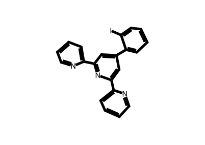 Ic1ccccc1-c1cc(-c2ccccn2)nc(-c2ccccn2)c1